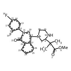 COC(=O)C(C)(C)C1CN(c2nn(-c3ccc(F)cc3F)c(=O)c3ccccc23)CCN1